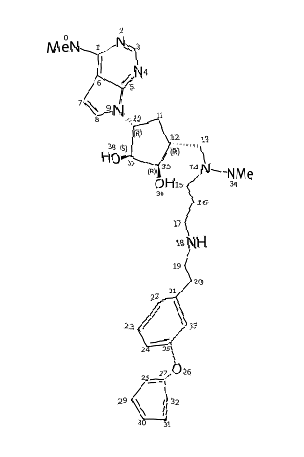 CNc1ncnc2c1ccn2[C@@H]1C[C@H](CN(CCCNCCc2cccc(Oc3ccccc3)c2)NC)[C@@H](O)[C@H]1O